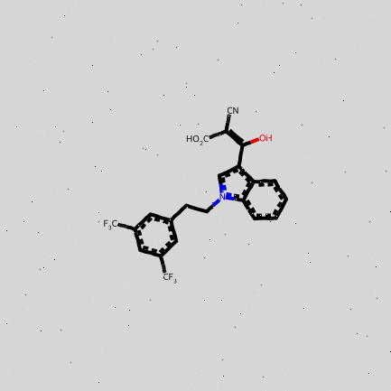 N#CC(C(=O)O)=C(O)c1cn(CCc2cc(C(F)(F)F)cc(C(F)(F)F)c2)c2ccccc12